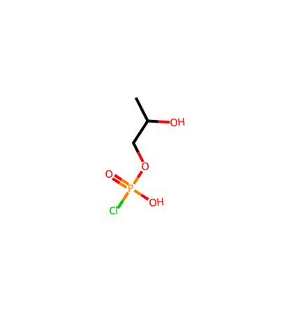 CC(O)COP(=O)(O)Cl